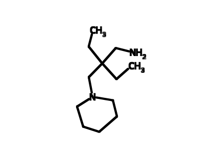 CCC(CC)(CN)CN1CCCCC1